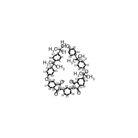 CCC(C)(C)c1ccc(C(C)(C)c2ccc(Oc3ccc4c(c3)C(=O)N(c3cccc(N5C(=O)c6ccc(C(C)(C)Oc7ccc(C(C)(C)c8ccc(O)cc8)cc7)cc6C5=O)c3)C4=O)cc2)cc1